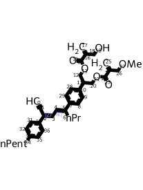 C#C/C(=C\C=C(/CCC)c1ccc(C(COC(=O)C(=C)CO)COC(=O)C(=C)COC)cc1)c1ccc(CCCCC)cc1